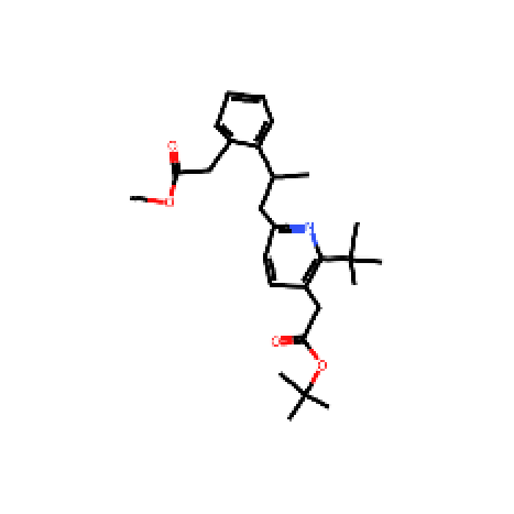 COC(=O)Cc1ccccc1C(C)Cc1ccc(CC(=O)OC(C)(C)C)c(C(C)(C)C)n1